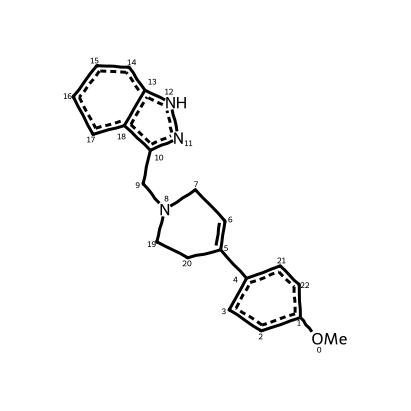 COc1ccc(C2=CCN(Cc3n[nH]c4ccccc34)CC2)cc1